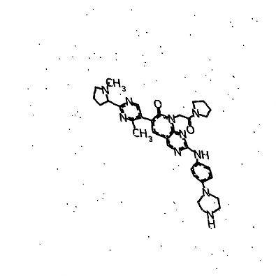 Cc1nc(C2CCCN2C)ncc1-c1cc2cnc(Nc3ccc(N4CCNCC4)cc3)nc2n(CC(=O)N2CCCC2)c1=O